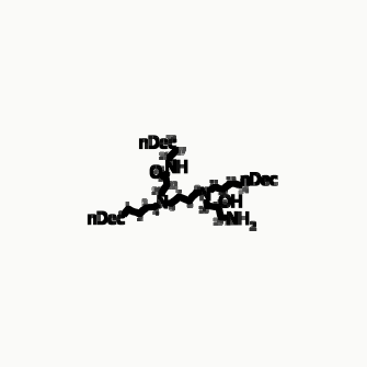 CCCCCCCCCCCCCCN(CCCCN(CCCCCCCCCCCCCC)CC(O)CN)CCC(=O)NCCCCCCCCCCCC